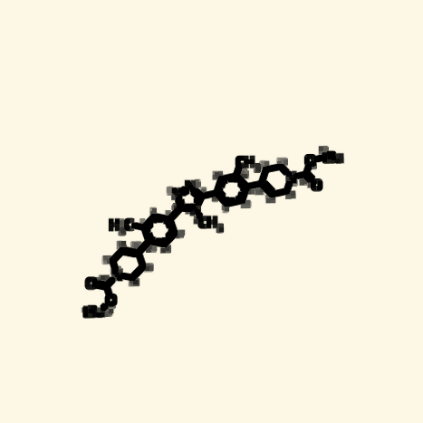 Cc1cc(-c2nnc(-c3ccc(C4=CCN(C(=O)OC(C)(C)C)CC4)c(C)c3)n2C)ccc1C1=CCN(C(=O)OC(C)(C)C)CC1